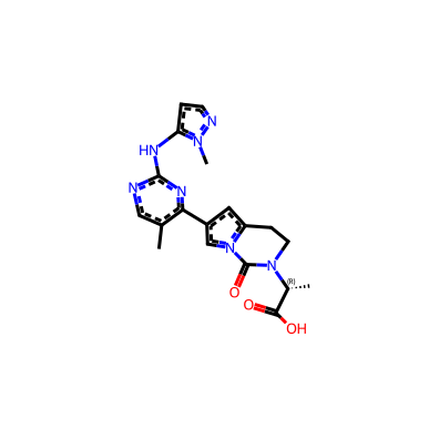 Cc1cnc(Nc2ccnn2C)nc1-c1cc2n(c1)C(=O)N([C@H](C)C(=O)O)CC2